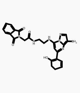 Bc1cnn2c(NCCNC(=O)CN3C(=O)c4ccccc4C3=O)cc(C3=C(O)CCC=C3)nc12